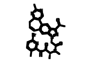 CC(=O)c1nn(CC(=O)N(C)[C@@H](C)C(=O)Nc2nc(Br)ccc2C)c2cc3c(cc12)-c1cnc(C)nc1CC=C3